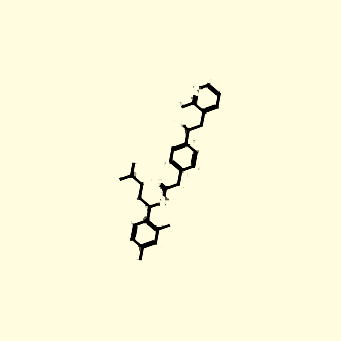 Cc1ccc(C(CCC(C)C)NC(=O)Cc2ccc(C(O)Cc3cccnc3C)cc2)c(C)c1